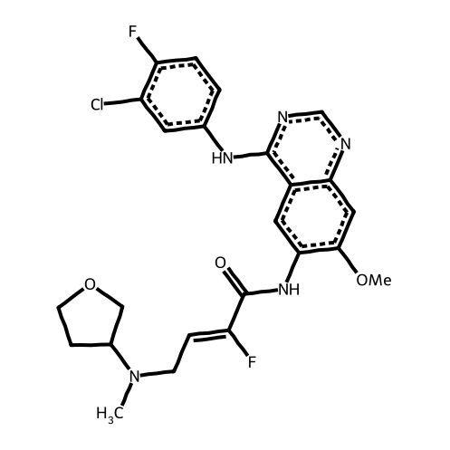 COc1cc2ncnc(Nc3ccc(F)c(Cl)c3)c2cc1NC(=O)C(F)=CCN(C)C1CCOC1